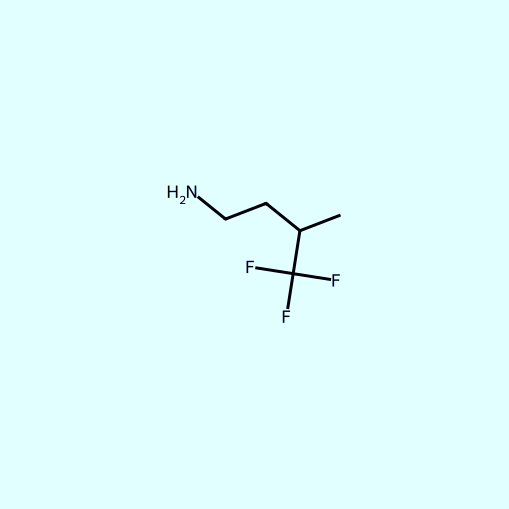 CC(CCN)C(F)(F)F